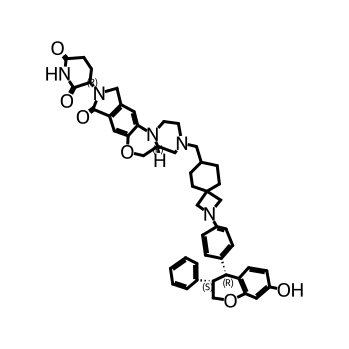 O=C1CC[C@@H](N2Cc3cc4c(cc3C2=O)OC[C@H]2CN(CC3CCC5(CC3)CN(c3ccc([C@@H]6c7ccc(O)cc7OC[C@@H]6c6ccccc6)cc3)C5)CCN42)C(=O)N1